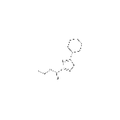 CCOC(=O)C1=CCC(C2CCCCC2)=N1